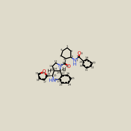 O=C(NC1CCCC[C@@H]1C(=O)N1CC[C@@H]2[C@H](c3ccco3)Nc3ccccc3[C@@H]21)c1ccccc1